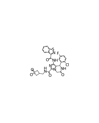 O=C1Cn2c(C(=O)NCC3CS(=O)(=O)C3)nc(NC(=O)c3nsc4ccccc34)c2C(c2cc(F)ccc2Cl)N1